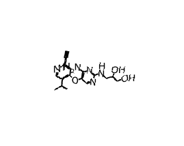 C#Cc1cc(Oc2cnc(NCC(O)CO)nc2N)c(C(C)C)cn1